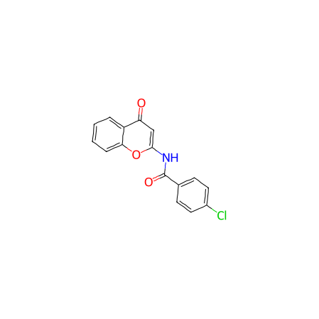 O=C(Nc1cc(=O)c2ccccc2o1)c1ccc(Cl)cc1